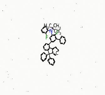 CC(C)(C)N(c1ccccc1F)c1cc(-c2cccc3c2-c2ccccc2C3(c2ccccc2)c2ccccc2)cc(-c2ccccc2)c1F